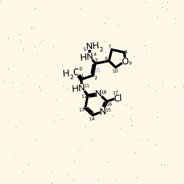 C=C(/C=C(\NN)C1CCOC1)Nc1ccnc(Cl)n1